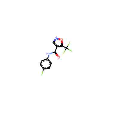 O=C(Nc1ccc(F)cc1)c1cnoc1C(F)(F)F